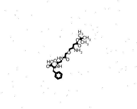 CC(C)(C)OC(=O)C[C@H](N)COCC(=O)NCC(=O)N[C@@H](Cc1ccccc1)C(=O)O